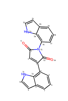 O=C1C=C(c2cccc3cc[nH]c23)C(=O)N1c1cccc2cc[nH]c12